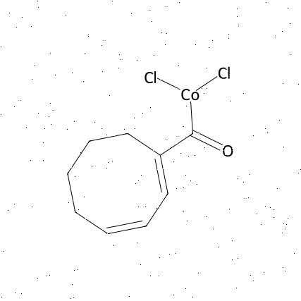 O=[C](C1=CC=CCCCC1)[Co]([Cl])[Cl]